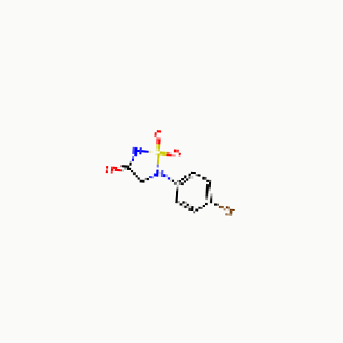 O=C1CN(c2ccc(Br)cc2)S(=O)(=O)N1